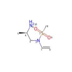 C=CN(C[C@@H](C)N)S(C)(=O)=O